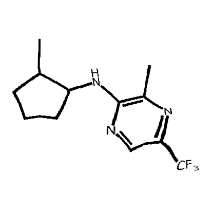 Cc1nc(C(F)(F)F)cnc1NC1CCCC1C